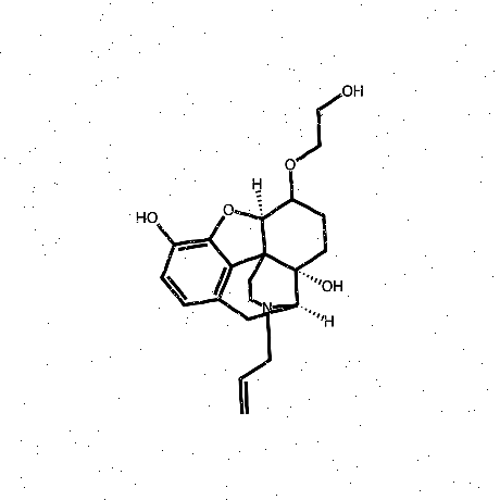 C=CCN1CCC23c4c5ccc(O)c4O[C@H]2C(OCCO)CC[C@@]3(O)[C@H]1C5